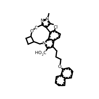 Cc1c2c(nn1C)COC1CCC1Cn1c(C(=O)O)c(CCCOc3cccc4ccccc34)c3ccc(Cl)c-2c31